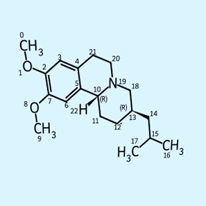 COc1cc2c(cc1OC)[C@H]1C[CH][C@H](CC(C)C)CN1CC2